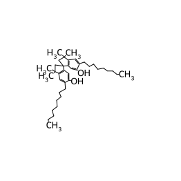 CCCCCCCCCc1cc2c(cc1O)C1(CC2(C)C)CC(C)(C)c2cc(CCCCCCCCC)c(O)cc21